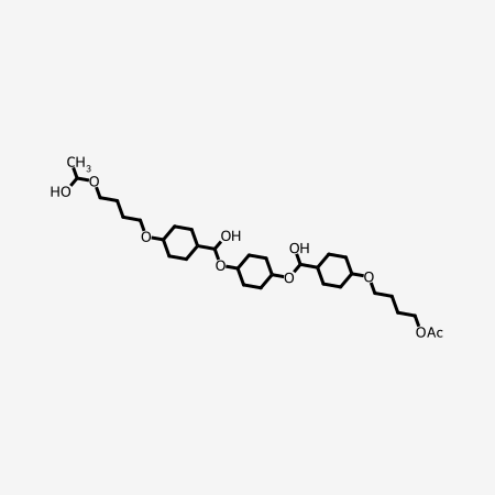 CC(=O)OCCCCOC1CCC(C(O)OC2CCC(OC(O)C3CCC(OCCCCOC(C)O)CC3)CC2)CC1